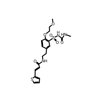 CNC(=O)NS(=O)(=O)c1cc(CCNC(=O)C=Cc2cccs2)ccc1OCCOC